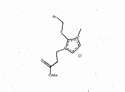 COC(=O)CCn1cc[n+](C)c1SCC(C)=O.[Cl-]